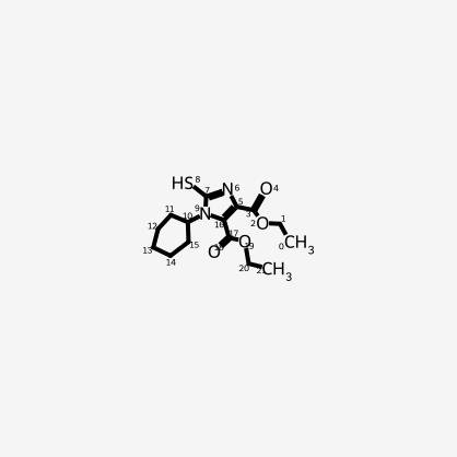 CCOC(=O)c1nc(S)n(C2CCCCC2)c1C(=O)OCC